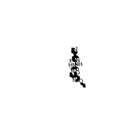 CCCOc1cnc2ccn([C@H](C)C(=O)NNc3ncc(-c4ccn(C)c4)cc3F)c(=O)c2c1